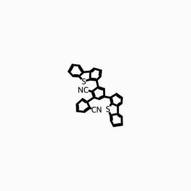 N#Cc1ccccc1-c1cc(-c2cccc3c2sc2ccccc23)cc(-c2cccc3c2sc2ccccc23)c1C#N